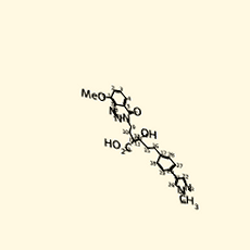 COc1cccc2c(=O)n(CC[C@H](C(=O)O)[C@H](O)CCc3ccc(-c4cnn(C)c4)cc3)nnc12